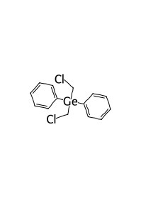 Cl[CH2][Ge]([CH2]Cl)([c]1ccccc1)[c]1ccccc1